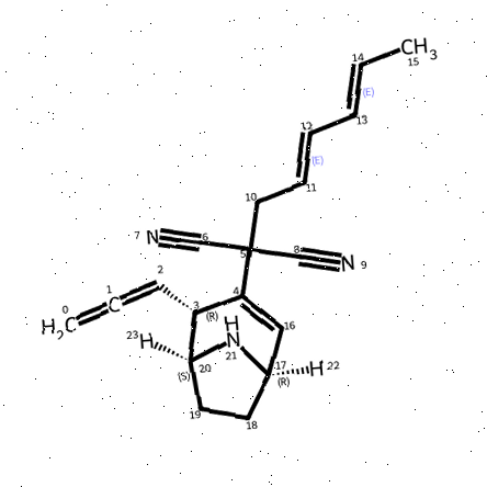 C=C=C[C@@H]1C(C(C#N)(C#N)C/C=C/C=C/C)=C[C@H]2CC[C@@H]1N2